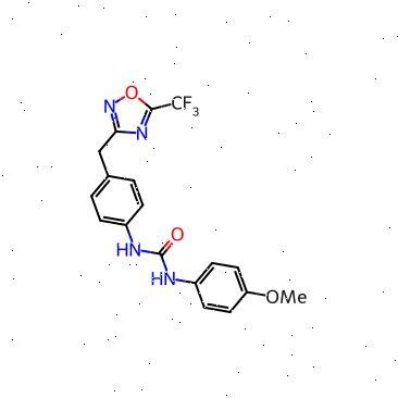 COc1ccc(NC(=O)Nc2ccc(Cc3noc(C(F)(F)F)n3)cc2)cc1